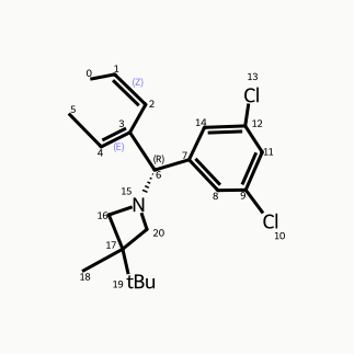 C/C=C\C(=C/C)[C@H](c1cc(Cl)cc(Cl)c1)N1CC(C)(C(C)(C)C)C1